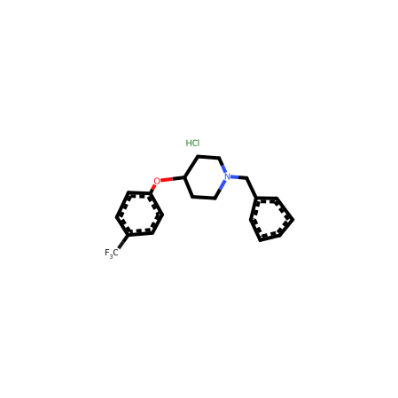 Cl.FC(F)(F)c1ccc(OC2CCN(Cc3ccccc3)CC2)cc1